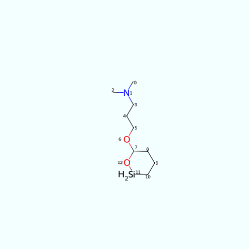 CN(C)CCCOC1CCC[SiH2]O1